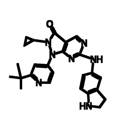 CC(C)(C)c1cc(-n2c3nc(Nc4ccc5c(c4)CCN5)ncc3c(=O)n2C2CC2)ccn1